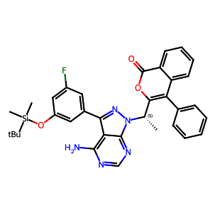 C[C@@H](c1oc(=O)c2ccccc2c1-c1ccccc1)n1nc(-c2cc(F)cc(O[Si](C)(C)C(C)(C)C)c2)c2c(N)ncnc21